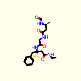 CCNC(=O)CC(S)(Cc1ccccc1)NC(=O)CNC(=O)C[C@H](C)NC=O